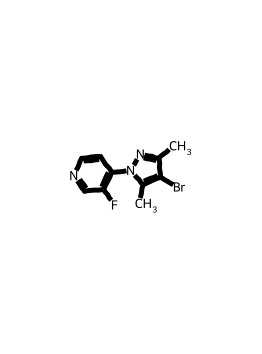 Cc1nn(-c2ccncc2F)c(C)c1Br